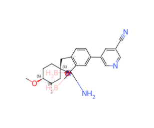 BC1(B)OC(N)=N[C@]12c1cc(-c3cncc(C#N)c3)ccc1C[C@@]21CC[C@H](OC)[C@@H](C)C1